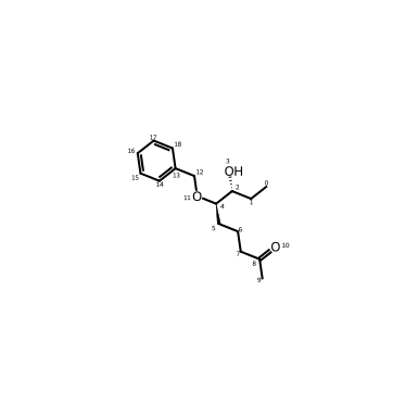 CC[C@@H](O)[C@@H](CCCC(C)=O)OCc1ccccc1